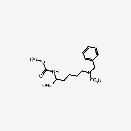 CC(C)(C)OC(=O)N[C@H](C=O)CCCCN(Cc1ccccc1)C(=O)O